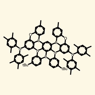 Cc1ccc2c(c1)Oc1cc(N(c3cc(C)c(C)cc3C)c3cc(C)c(C)cc3C)cc3c1B2c1cc2c4c5c1N3c1cc(C(C)(C)C)ccc1B5c1ccc(C(C)(C)C)cc1N4c1cc(N(c3cc(C)c(C)cc3C)c3cc(C)c(C)cc3C)cc3c1B2c1ccc(C)cc1O3